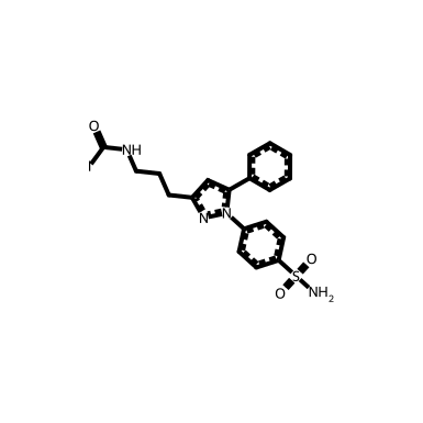 NS(=O)(=O)c1ccc(-n2nc(CCCNC(=O)I)cc2-c2ccccc2)cc1